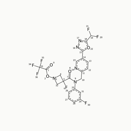 O=C(ON1CC(F)(C(=O)N(Cc2ccc(-c3nnc(C(F)F)o3)cn2)c2cccc(F)c2)C1)C(F)(F)F